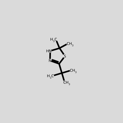 CC1(C)NN=C(C(C)(C)C)S1